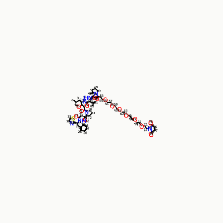 CC[C@H](C)[C@@H]([C@@H](CC(=O)N1CCC[C@H]1[C@H](OC)[C@@H](C)C(=O)N[C@@H](Cc1ccccc1)c1nccs1)OC)N(C)C(=O)[C@@H](NC(=O)[C@]1(C)CCCN1C(=O)CCOCCOCCOCCOCCOCCOCCN1C(=O)C=CC1=O)C(C)C